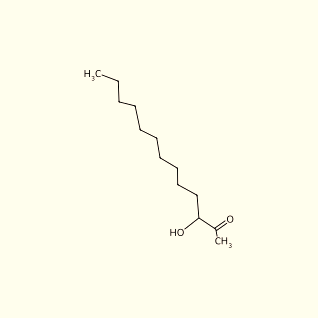 CCCCCCCCCCC(O)C(C)=O